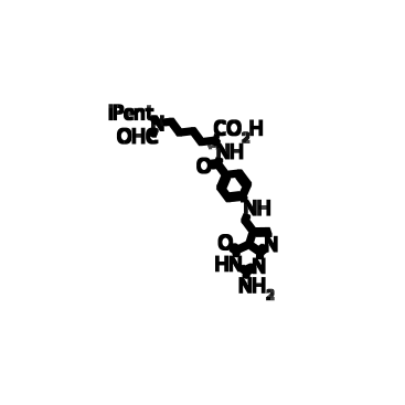 CCCC(C)N(C=O)CCCC[C@H](NC(=O)c1ccc(NCC2=CN=C3N=C(N)NC(=O)C23)cc1)C(=O)O